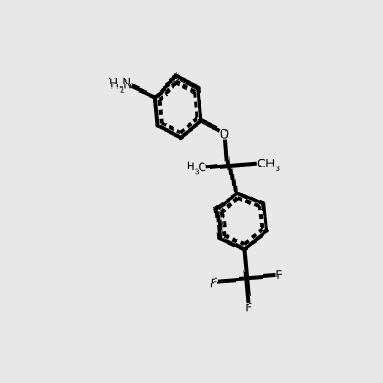 CC(C)(Oc1ccc(N)cc1)c1ccc(C(F)(F)F)cc1